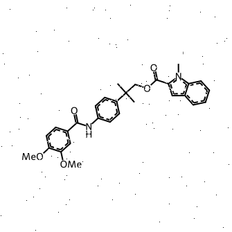 COc1ccc(C(=O)Nc2ccc(C(C)(C)COC(=O)c3cc4ccccc4n3C)cc2)cc1OC